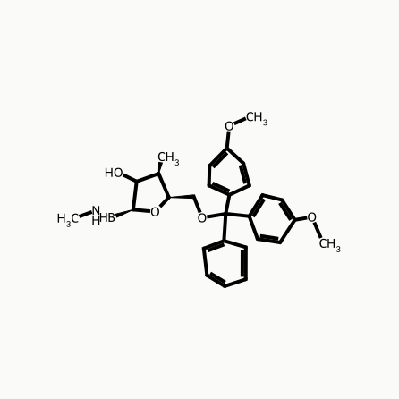 CNB[C@@H]1O[C@H](COC(c2ccccc2)(c2ccc(OC)cc2)c2ccc(OC)cc2)[C@H](C)C1O